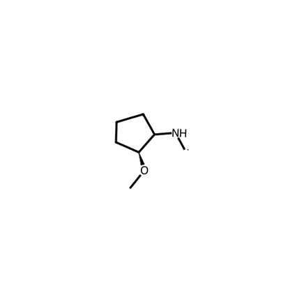 [CH2]NC1CCC[C@@H]1OC